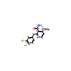 COc1ccnc(Cc2ccc(F)c(F)c2)c1C(N)=O